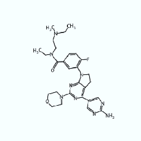 CCN(C)CCN(CC)C(=O)c1ccc(F)c(N2CCc3c(-c4cnc(N)nc4)nc(N4CCOCC4)nc32)c1